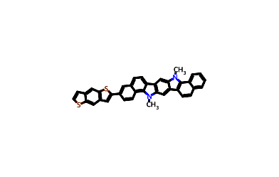 Cn1c2cc3c4ccc5cc(-c6cc7cc8sccc8cc7s6)ccc5c4n(C)c3cc2c2ccc3ccccc3c21